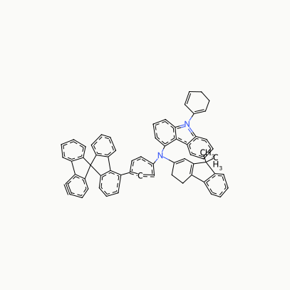 CC1(C)C2=C(CCC(N(c3ccc(-c4cccc5c4-c4ccccc4C54c5ccc#cc5-c5ccccc54)cc3)c3cccc4c3c3ccccc3n4C3=CCCC=C3)=C2)c2ccccc21